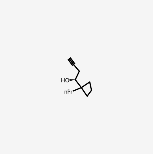 C#CC[C@H](O)C1(CCC)CCC1